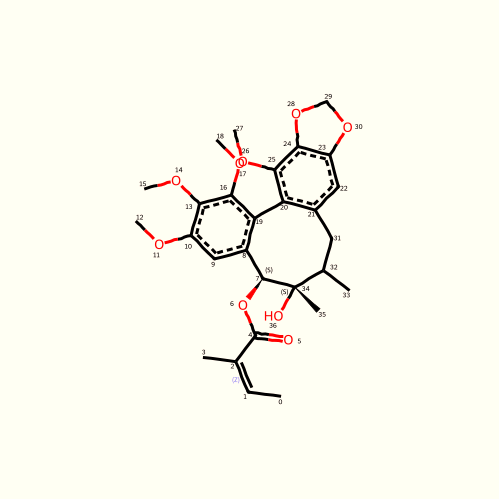 C/C=C(/C)C(=O)O[C@H]1c2cc(OC)c(OC)c(OC)c2-c2c(cc3c(c2OC)OCO3)CC(C)[C@]1(C)O